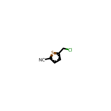 N#Cc1ccc(CCl)s1